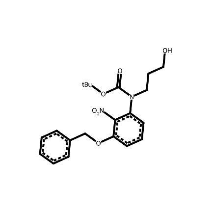 CC(C)(C)OC(=O)N(CCCO)c1cccc(OCc2ccccc2)c1[N+](=O)[O-]